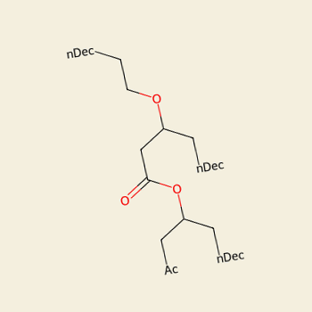 CCCCCCCCCCCCOC(CCCCCCCCCCC)CC(=O)OC(CCCCCCCCCCC)CC(C)=O